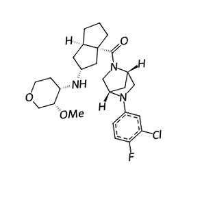 CO[C@@H]1COCC[C@@H]1N[C@@H]1C[C@H]2CCC[C@@]2(C(=O)N2C[C@@H]3C[C@H]2CN3c2ccc(F)c(Cl)c2)C1